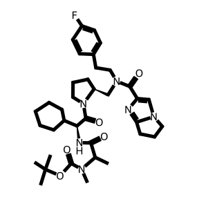 CC(C(=O)N[C@H](C(=O)N1CCC[C@H]1CN(CCc1ccc(F)cc1)C(=O)c1cn2c(n1)CCC2)C1CCCCC1)N(C)C(=O)OC(C)(C)C